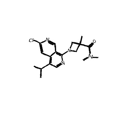 CC(C)c1cnc(N2CC(C)(C(=O)N(C)C)C2)c2cnc(Cl)cc12